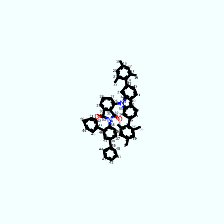 Cc1cc(C)c(-c2ccc3c4ccc(-c5c(C)cc(C)cc5C)cc4n(-c4cccc5c4C(=O)N(c4ccc(-c6ccccc6)cc4-c4ccccc4)C5=O)c3c2)c(C)c1